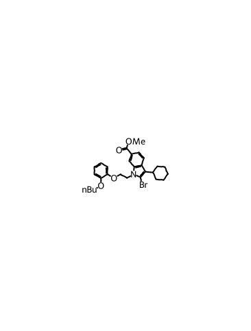 CCCCOc1ccccc1OCCn1c(Br)c(C2CCCCC2)c2ccc(C(=O)OC)cc21